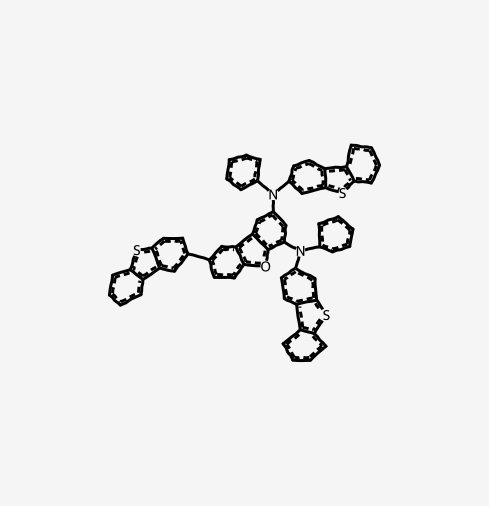 c1ccc(N(c2ccc3c(c2)sc2ccccc23)c2cc(N(c3ccccc3)c3ccc4c(c3)sc3ccccc34)c3oc4ccc(-c5ccc6sc7ccccc7c6c5)cc4c3c2)cc1